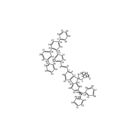 CCC1(CC)c2cc(/C=C/c3ccc(-c4cc(-c5ccccc5)ccc4-c4cccc(-c5ccccc5)c4)cc3)ccc2-c2ccc(N(c3ccccc3)c3ccccc3)cc21